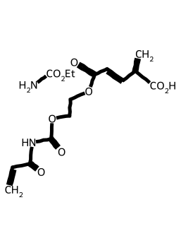 C=CC(=O)NC(=O)OCCOC(=O)C=CC(=C)C(=O)O.CCOC(N)=O